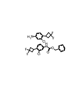 Nc1ccc(C2CC(F)(F)C2)c(Cl)c1.O=C(Nc1ccc(C2CC(F)(F)C2)c(Cl)c1)OCc1ccccc1